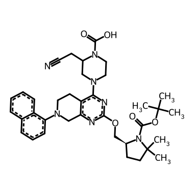 CC(C)(C)OC(=O)N1[C@H](COc2nc3c(c(N4CCN(C(=O)O)C(CC#N)C4)n2)CCN(c2cccc4ccccc24)C3)CCC1(C)C